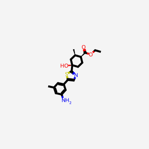 CCOC(=O)[C@H]1CC[C@](O)(c2ncc(-c3cc(C)cc(N)c3)s2)C[C@H]1C